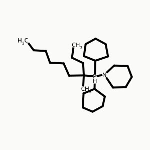 CCCCCCC(C)(CCC)[PH](C1CCCCC1)(C1CCCCC1)N1CCCCC1